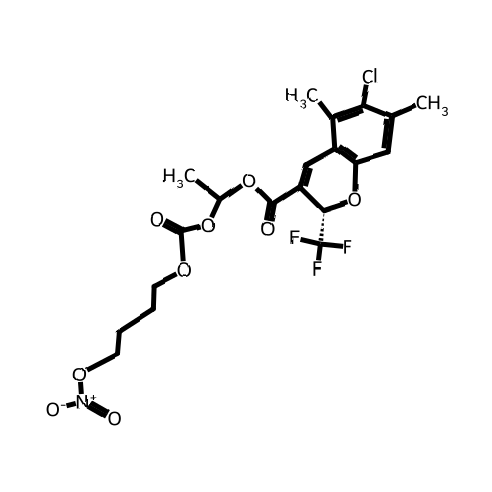 Cc1cc2c(c(C)c1Cl)C=C(C(=O)OC(C)OC(=O)OCCCCO[N+](=O)[O-])[C@@H](C(F)(F)F)O2